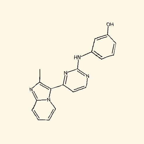 Cc1nc2ccccn2c1-c1ccnc(Nc2cccc(O)c2)n1